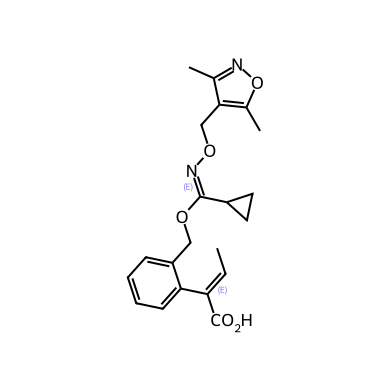 C/C=C(/C(=O)O)c1ccccc1CO/C(=N/OCc1c(C)noc1C)C1CC1